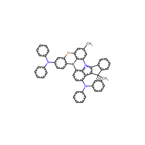 Cc1cc2c3c(c1)-n1c4c(c5c(N(c6ccccc6)c6ccccc6)ccc(c51)B3c1ccc(N(c3ccccc3)c3ccccc3)cc1S2)C(C)(C)c1ccccc1-4